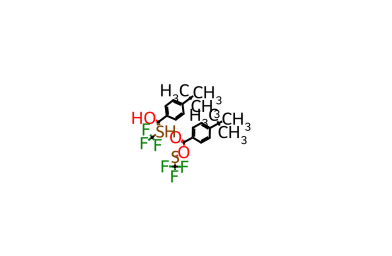 CC(C)(C)c1ccc(C(=O)OSC(F)(F)F)cc1.CC(C)(C)c1ccc(C(O)=[SH]C(F)(F)F)cc1